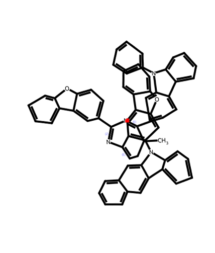 CC1C/C=C(c2cc3c(cc2-n2c4ccccc4c4cc5ccccc5cc42)oc2ccccc23)/N=C(c2ccc3oc4ccccc4c3c2)\N=C/1c1ccc2c3ccccc3n(-c3ccccc3)c2c1